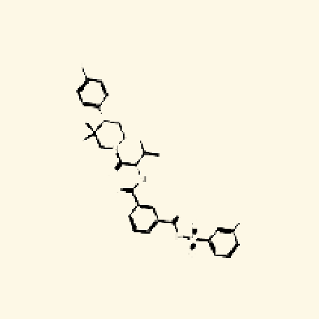 CC(C)[C@@H](NC(=O)c1cccc(C(=O)NS(=O)(=O)c2cccc(F)c2)c1)C(=O)N1CC[C@H](c2ccc(Cl)cc2)C(C)(C)C1